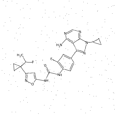 CC(F)C1(c2cc(NC(=O)Nc3ccc(-c4nn(C5CC5)c5ncnc(N)c45)cc3F)on2)CC1